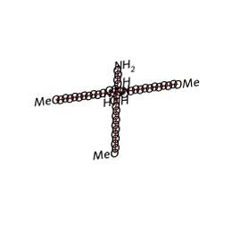 COCCOCCOCCOCCOCCOCCOCCOCCOCCOCCOCCNC(=O)CCOCC(COCCC(=O)NCCOCCOCCOCCOCCOCCOCCOCCOCCOCCOCCOC)(COCCC(=O)NCCOCCOCCOCCOCCOCCOCCOCCOCCOCCOCCOC)NC(=O)CCOCCOCCOCCOCCN